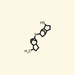 CC1CCC2C3CC(CC3SC3CC4CC3C3C(S)CCC43)C12